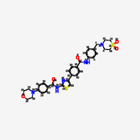 O=C(Nc1ccc(CN2CCS(=O)(=O)CC2)cc1)c1ccc(-c2csc(NC(=O)c3ccc(N4CCOCC4)cc3)n2)cc1